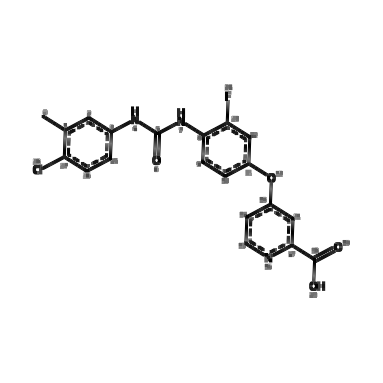 Cc1cc(NC(=O)Nc2ccc(Oc3ccnc(C(=O)O)c3)cc2F)ccc1Cl